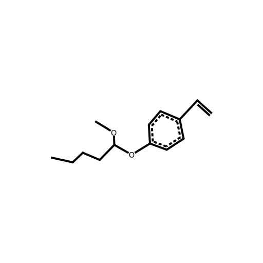 C=Cc1ccc(OC(CCCC)OC)cc1